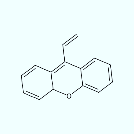 C=CC1=C2C=CC=CC2Oc2ccccc21